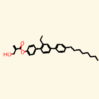 C=C(CO)C(=O)Oc1ccc(-c2ccc(-c3ccc(CCCCCCCC)cc3)cc2CC)cc1